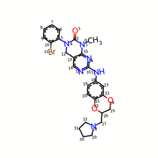 CN1C(=O)N(c2ccccc2Br)Cc2cnc(Nc3ccc4c(c3)OCC(CN3CCCC3)O4)nc21